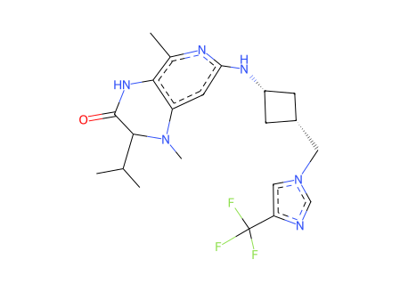 Cc1nc(N[C@H]2C[C@@H](Cn3cnc(C(F)(F)F)c3)C2)cc2c1NC(=O)C(C(C)C)N2C